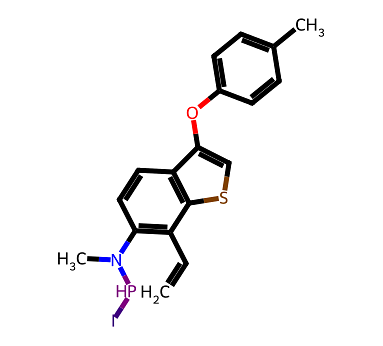 C=Cc1c(N(C)PI)ccc2c(Oc3ccc(C)cc3)csc12